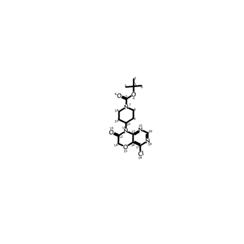 CC(C)(C)OC(=O)N1CCC(N2C(=O)COc3c(Cl)ncnc32)CC1